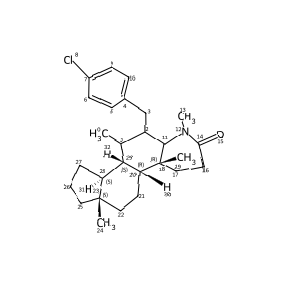 CC1C(Cc2ccc(Cl)cc2)C2N(C)C(=O)CC[C@]2(C)[C@@H]2CC[C@]3(C)CCC[C@H]3[C@H]12